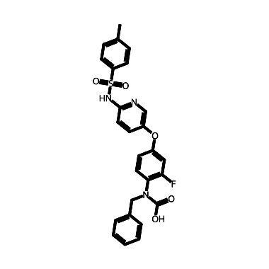 Cc1ccc(S(=O)(=O)Nc2ccc(Oc3ccc(N(Cc4ccccc4)C(=O)O)c(F)c3)cn2)cc1